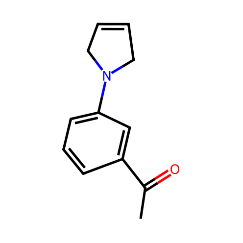 CC(=O)c1cccc(N2CC=CC2)c1